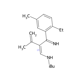 C=C(C)/C(=C/NC(C)CC)C(=N)c1cc(C)ccc1CC